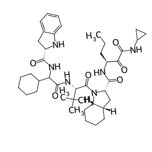 CCC[C@H](NC(=O)[C@@H]1C[C@@H]2CCCC[C@@H]2N1C(=O)[C@@H](NC(=O)C(NC(=O)[C@@H]1Cc2ccccc2N1)C1CCCCC1)C(C)(C)C)C(=O)C(=O)NC1CC1